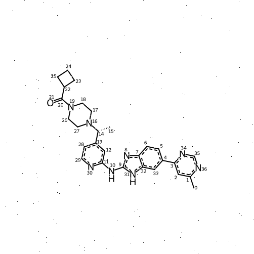 Cc1cc(-c2ccc3nc(Nc4cc([C@@H](C)N5CCN(C(=O)C6CCC6)CC5)ccn4)[nH]c3c2)ncn1